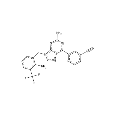 N#Cc1ccnc(-c2nc(N)nc3c2ncn3Cc2cccc(C(F)(F)F)c2N)c1